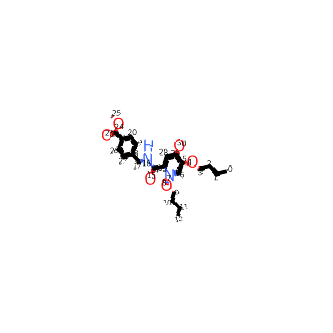 CCCCOc1cn(OCCCC)c(C(=O)NCc2ccc(C(=O)OC)cc2)cc1=O